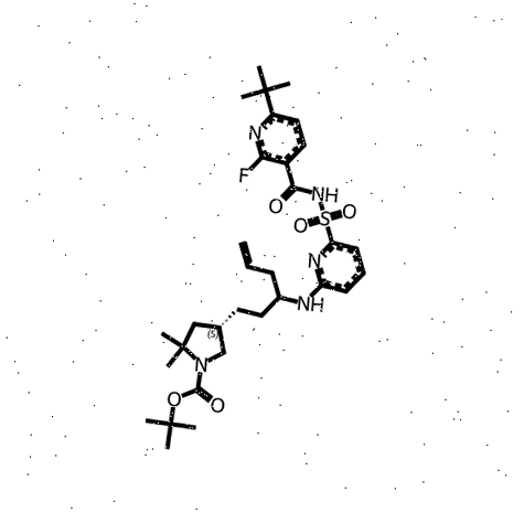 C=CCC(CC[C@@H]1CN(C(=O)OC(C)(C)C)C(C)(C)C1)Nc1cccc(S(=O)(=O)NC(=O)c2ccc(C(C)(C)C)nc2F)n1